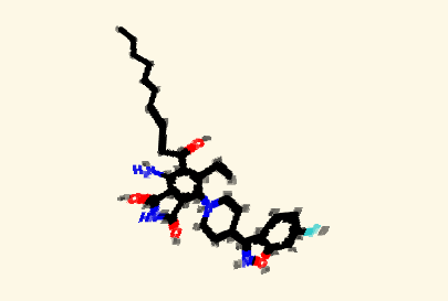 CCCCCCCCCC(=O)c1c(N)c2c(c(N3CCC(c4noc5cc(F)ccc45)CC3)c1CC)C(=O)NC2=O